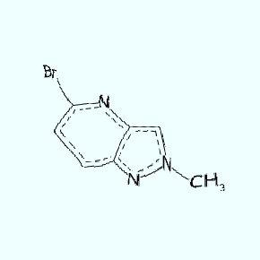 Cn1cc2nc(Br)ccc2n1